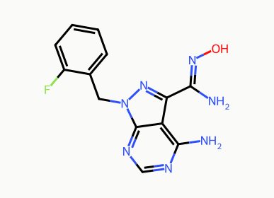 N/C(=N\O)c1nn(Cc2ccccc2F)c2ncnc(N)c12